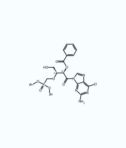 CC(C)OP(=O)(CO[C@@H](CO)[C@@H](OC(=O)c1ccccc1)C(=O)n1cnc2c(Cl)nc(N)nc21)OC(C)C